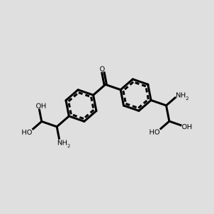 NC(c1ccc(C(=O)c2ccc(C(N)C(O)O)cc2)cc1)C(O)O